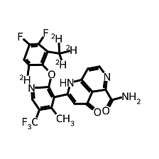 [2H]c1cc(F)c(F)c(C([2H])([2H])[2H])c1Oc1ncc(C(F)(F)F)c(C)c1-c1cc(=O)c2c(C(N)=O)nccc2[nH]1